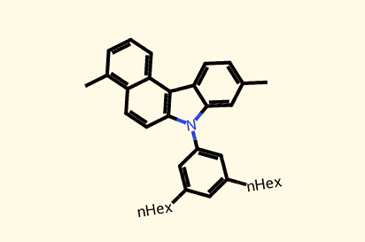 CCCCCCc1cc(CCCCCC)cc(-n2c3cc(C)ccc3c3c4cccc(C)c4ccc32)c1